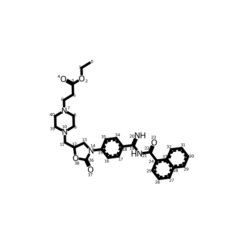 CCOC(=O)CCN1CCN(CC2CN(c3ccc(C(=N)NC(=O)c4cccc5ccccc45)cc3)C(=O)O2)CC1